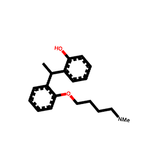 CNCCCCOc1ccccc1C(C)c1ccccc1O